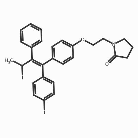 CC(I)C(=C(c1ccc(I)cc1)c1ccc(OCCN2CCCC2=O)cc1)c1ccccc1